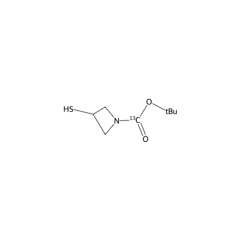 CC(C)(C)O[13C](=O)N1CC(S)C1